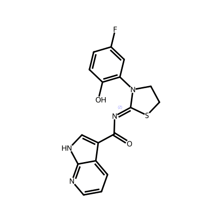 O=C(/N=C1\SCCN1c1cc(F)ccc1O)c1c[nH]c2ncccc12